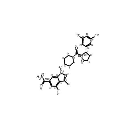 Cc1nn(C[C@H]2CC[C@H](C(=O)N3OCC[C@H]3c3cc(F)cc(F)c3)CC2)c2cc(C(N)=O)cc(F)c12